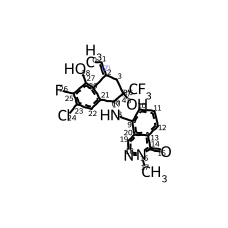 C/C=C1/C[C@](O)(C(F)(F)F)[C@H](Nc2cccc3c(=O)n(C)ncc23)c2cc(Cl)c(F)c(O)c21